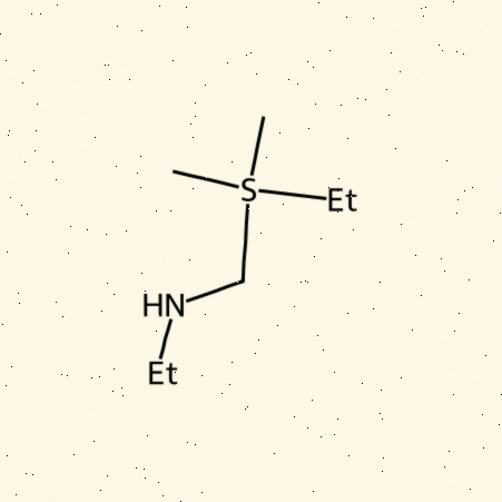 CCNCS(C)(C)CC